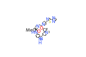 CO[C@@]1(C(=O)Nc2ccc3[nH]nc(-c4ccnc(C(F)(F)F)c4)c3c2)CCN(CC(=O)N2CC=C(c3ncc(-c4ncccn4)s3)CC2)C1